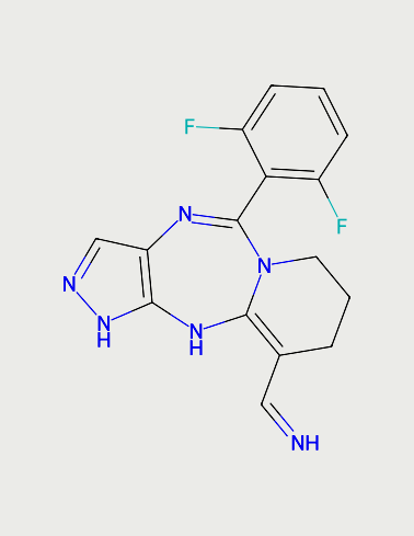 N=CC1=C2Nc3[nH]ncc3N=C(c3c(F)cccc3F)N2CCC1